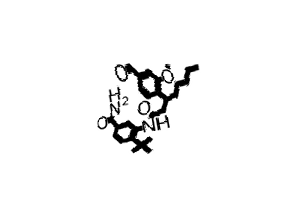 CCCCCC(CC(=O)Nc1cc(C(N)=O)ccc1C(C)(C)C)c1ccc(C=O)cc1OC